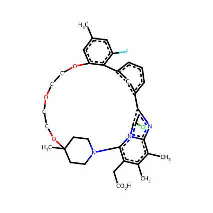 Cc1cc(F)c2c(c1)OCCOCCOC1(C)CCN(CC1)c1c(CC(=O)O)c(C)c(C)c3nc(c(Cl)n13)-c1cccc-2c1